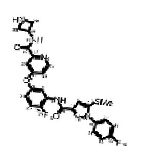 CSc1cc(C(=O)Nc2cc(Oc3ccnc(C(=O)NC4CNC4)c3)ccc2F)nn1-c1ccc(F)cc1